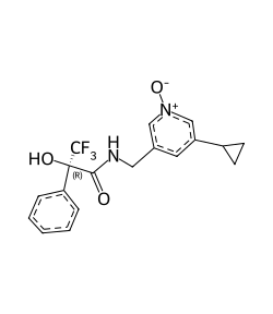 O=C(NCc1cc(C2CC2)c[n+]([O-])c1)[C@](O)(c1ccccc1)C(F)(F)F